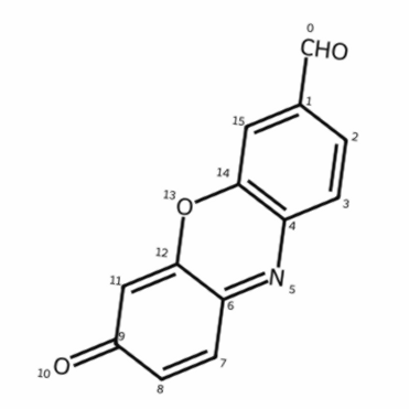 O=Cc1ccc2nc3ccc(=O)cc-3oc2c1